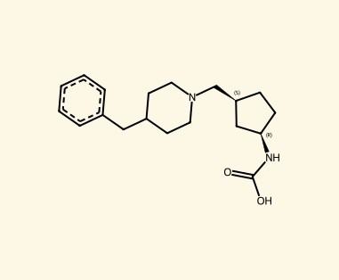 O=C(O)N[C@@H]1CC[C@H](CN2CCC(Cc3ccccc3)CC2)C1